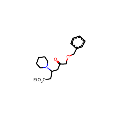 CCOC(=O)CC(CC(=O)COCc1ccccc1)N1CCCCC1